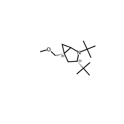 COC[C@]12CC1N(C(C)(C)C)[C@H](C(C)(C)C)C2